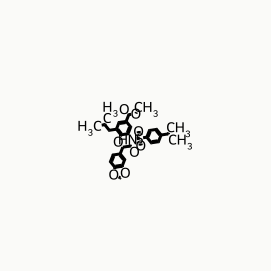 COC(=O)c1ccc(OC(C(=O)NS(=O)(=O)c2ccc(C(C)C)cc2)c2ccc3c(c2)OCO3)c(CC(C)C)c1